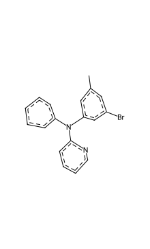 Cc1cc(Br)cc(N(c2ccccc2)c2ccccn2)c1